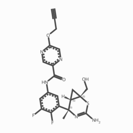 C#CCOc1cnc(C(=O)Nc2cc(F)c(F)c([C@@]3(C)N=C(N)S[C@@]4(CO)C[C@H]43)c2)cn1